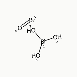 [OH][Bi]([OH])[OH].[O]=[Bi]